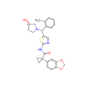 Cc1ccccc1C(c1cnc(NC(=O)C2(c3ccc4c(c3)OCO4)CC2)s1)N1CC[C@@H](O)C1